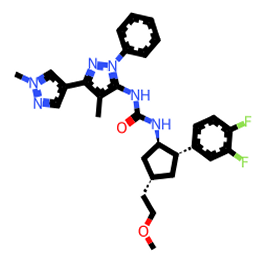 COCC[C@@H]1C[C@@H](NC(=O)Nc2c(C)c(-c3cnn(C)c3)nn2-c2ccccc2)[C@H](c2ccc(F)c(F)c2)C1